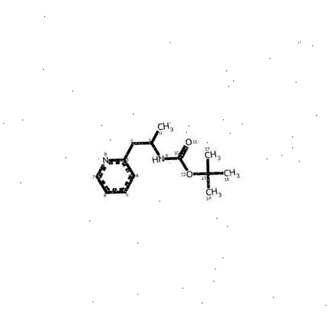 CC(Cc1ccccn1)NC(=O)OC(C)(C)C